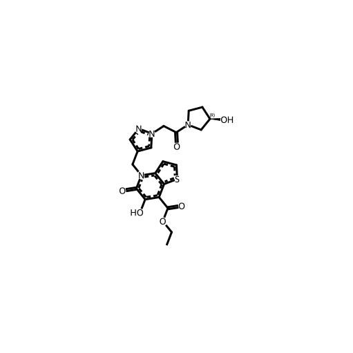 CCOC(=O)c1c(O)c(=O)n(Cc2cnn(CC(=O)N3CC[C@@H](O)C3)c2)c2ccsc12